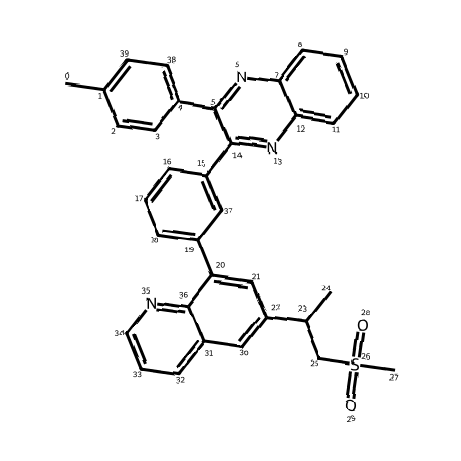 Cc1ccc(-c2nc3ccccc3nc2-c2cccc(-c3cc(C(C)CS(C)(=O)=O)cc4cccnc34)c2)cc1